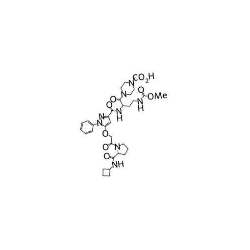 COC(=O)NCCC(NC(=O)c1cc(OCC(=O)N2CCCC2C(=O)NC2CCC2)n(-c2ccccc2)n1)C(=O)N1CCN(C(=O)O)CC1